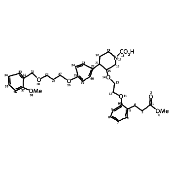 COC(=O)CCc1ccccc1OCCOC1CN(C(=O)O)CCC1c1ccc(OCCCOCc2ccccc2OC)cc1